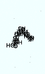 CC(Cc1ccc(-c2nc3[nH]c(C(=O)O)cc3s2)cn1)OC(=O)c1cc2sc(-c3cccnc3)nc2[nH]1